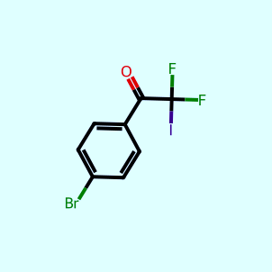 O=C(c1ccc(Br)cc1)C(F)(F)I